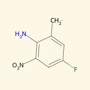 [CH2]c1cc(F)cc([N+](=O)[O-])c1N